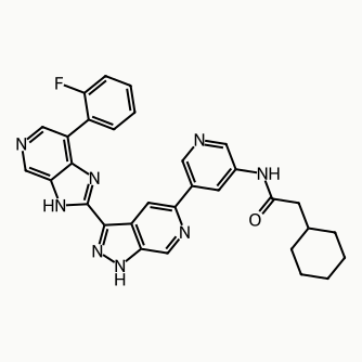 O=C(CC1CCCCC1)Nc1cncc(-c2cc3c(-c4nc5c(-c6ccccc6F)cncc5[nH]4)n[nH]c3cn2)c1